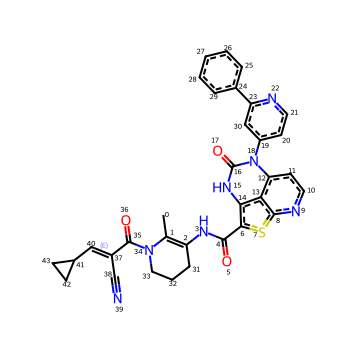 CC1=C(NC(=O)c2sc3nccc4c3c2NC(=O)N4c2ccnc(-c3ccccc3)c2)CCCN1C(=O)/C(C#N)=C/C1CC1